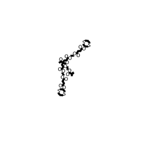 C=C(C)C(=O)OCCOC(=O)C(CCC(=O)OCCOC(=O)CCC(=O)OC1CSCCCSC1)(CCC(=O)OCCOC(=O)CCC(=O)OC1CSCCCSC1)C(C)=O